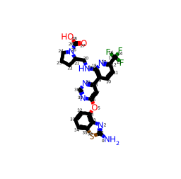 Nc1nc2c(Oc3cc(-c4ccc(C(F)(F)F)nc4NCC4CCCN4C(=O)O)ncn3)cccc2s1